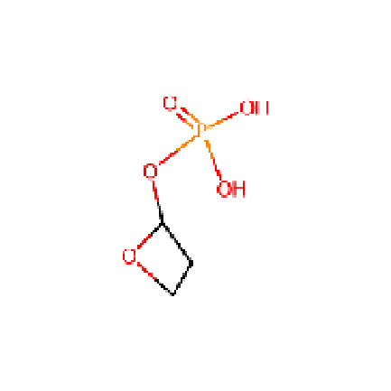 O=P(O)(O)OC1CCO1